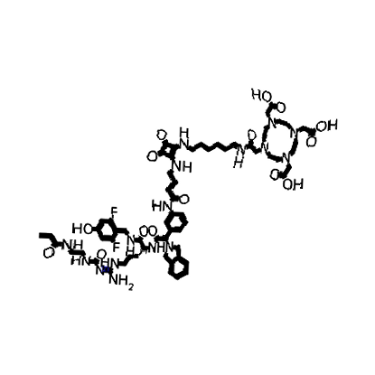 CCC(=O)NCCNC(=O)/N=C(/N)NCCC[C@@H](NC(=O)[C@@H](c1cccc(NC(=O)CCCNc2c(NCCCCCCNC(=O)CN3CCN(CC(=O)O)CCN(CC(=O)O)CCN(CC(=O)O)CC3)c(=O)c2=O)c1)N1Cc2ccccc2C1)C(=O)NCc1c(F)cc(O)cc1F